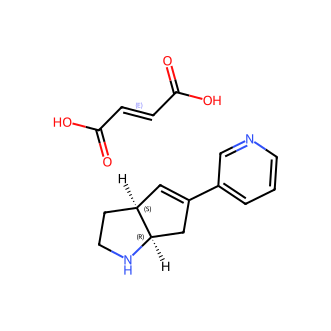 C1=C(c2cccnc2)C[C@H]2NCC[C@@H]12.O=C(O)/C=C/C(=O)O